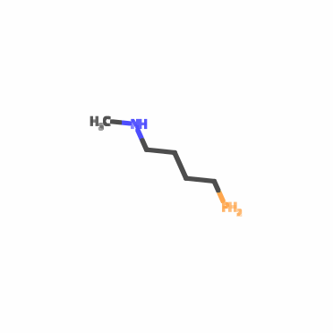 CNCCCCP